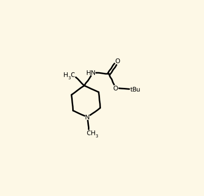 CN1CCC(C)(NC(=O)OC(C)(C)C)CC1